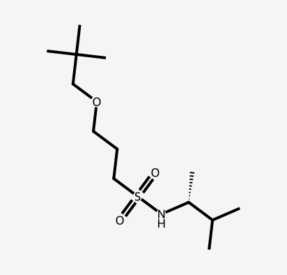 CC(C)[C@@H](C)NS(=O)(=O)CCCOCC(C)(C)C